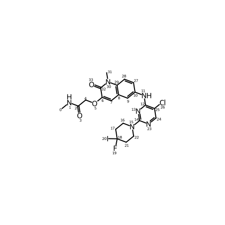 CNC(=O)COc1cc2cc(Nc3nc(N4CCC(F)(I)CC4)ncc3Cl)ccc2n(C)c1=O